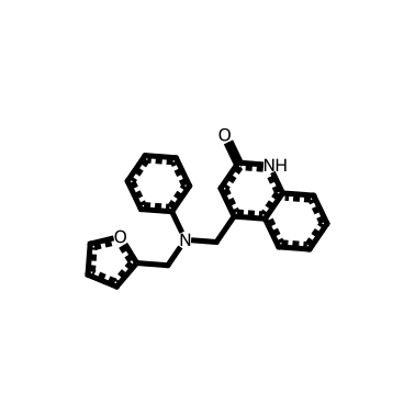 O=c1cc(CN(Cc2ccco2)c2ccccc2)c2ccccc2[nH]1